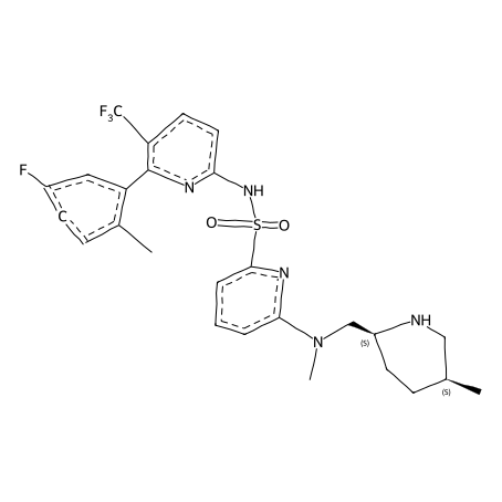 Cc1ccc(F)cc1-c1nc(NS(=O)(=O)c2cccc(N(C)C[C@@H]3CC[C@H](C)CN3)n2)ccc1C(F)(F)F